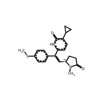 CSc1ccc(C(=C[C@H]2CCC(=O)N2C)c2ccc(C3CC3)c(=O)[nH]2)cc1